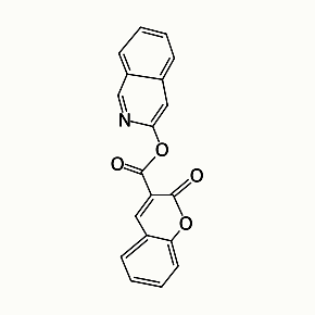 O=C(Oc1cc2ccccc2cn1)c1cc2ccccc2oc1=O